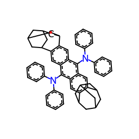 c1ccc(N(c2ccccc2)c2c3cc4c(cc3c(N(c3ccccc3)c3ccccc3)c3cc5c(cc23)C2CC3CC(C2)CC5C3)C2CC3CC(CC4C3)C2)cc1